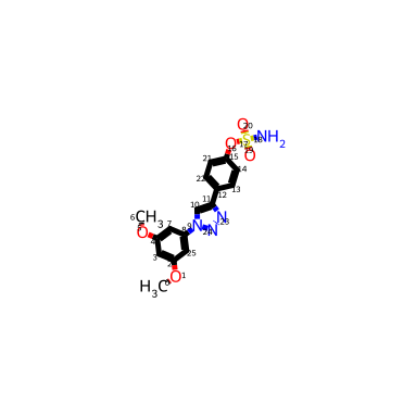 COc1cc(OC)cc(-n2cc(-c3ccc(OS(N)(=O)=O)cc3)nn2)c1